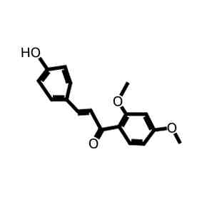 COc1ccc(C(=O)/C=C/c2ccc(O)cc2)c(OC)c1